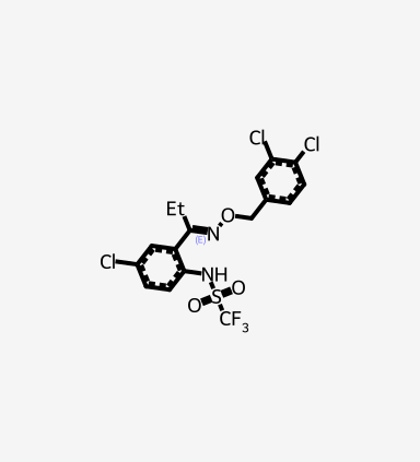 CC/C(=N\OCc1ccc(Cl)c(Cl)c1)c1cc(Cl)ccc1NS(=O)(=O)C(F)(F)F